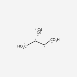 O=C(O)CCC(=O)O.[Cd].[Cd]